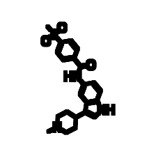 CN1CCC(c2c[nH]c3ccc(NC(=O)c4ccc(S(C)(=O)=O)cc4)cc23)CC1